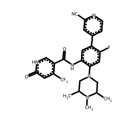 CC1CN(c2cc(F)c(-c3ccnc(C#N)c3)cc2NC(=O)c2c[nH]c(=O)cc2C(F)(F)F)CC(C)N1C